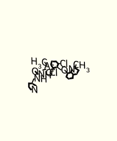 Cc1ccc2cccc(OCc3c(Cl)ccc([As](C)C(=O)CNC(=O)NCc4cccnc4)c3Cl)c2n1